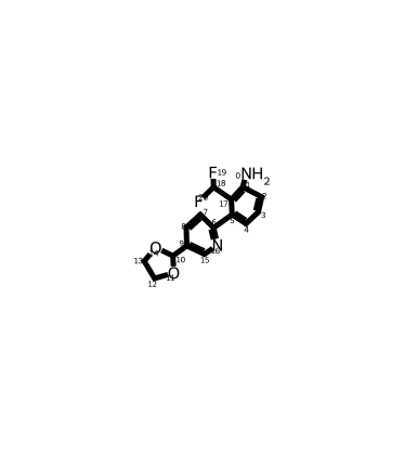 Nc1cccc(-c2ccc(C3OCCO3)cn2)c1C(F)F